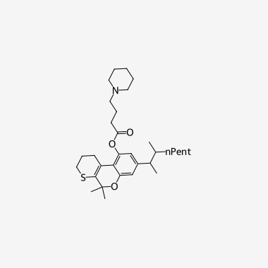 CCCCCC(C)C(C)c1cc(OC(=O)CCCN2CCCCC2)c2c(c1)OC(C)(C)C1=C2CCCS1